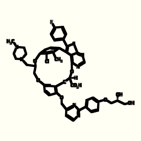 Cc1c2ccc(c1Cl)OC(CN1CCN(C)CC1)COc1ccc(OCc3ccnc(-c4ccc(OC[C@H](O)CO)cc4)n3)c(c1)C[C@H](C(=O)O)Oc1ncnc3sc(-c4ccc(F)cc4)c-2c13